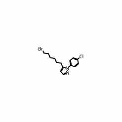 Clc1ccc(-n2nccc2CCCCCCBr)cc1